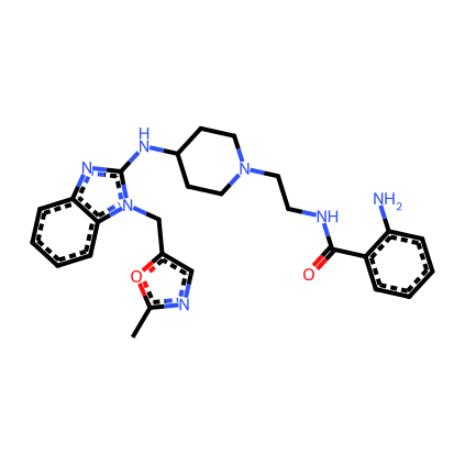 Cc1ncc(Cn2c(NC3CCN(CCNC(=O)c4ccccc4N)CC3)nc3ccccc32)o1